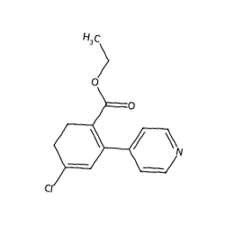 CCOC(=O)C1=C(c2ccncc2)C=C(Cl)CC1